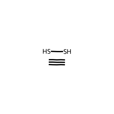 C#C.SS